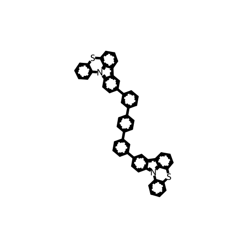 c1cc(-c2ccc(-c3cccc(-c4ccc5c(c4)c4cccc6c4n5-c4ccccc4S6)c3)cc2)cc(-c2ccc3c(c2)c2cccc4c2n3-c2ccccc2S4)c1